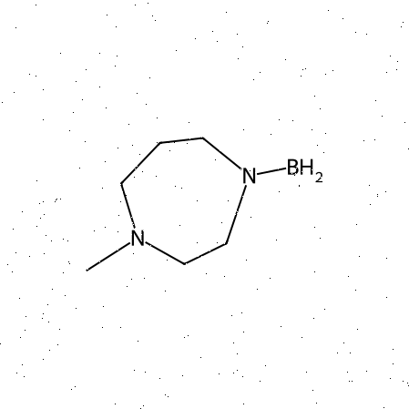 BN1CCCN(C)CC1